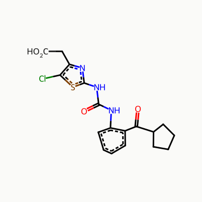 O=C(O)Cc1nc(NC(=O)Nc2ccccc2C(=O)C2CCCC2)sc1Cl